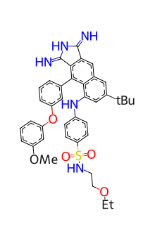 CCOCCNS(=O)(=O)c1ccc(Nc2cc(C(C)(C)C)cc3cc4c(c(-c5cccc(Oc6cccc(OC)c6)c5)c23)C(=N)NC4=N)cc1